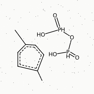 Cc1ccc(C)cc1.O=[PH](O)O[PH](=O)O